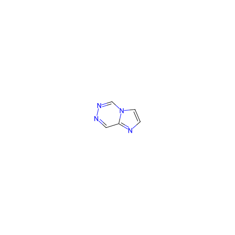 c1cn2cnncc2n1